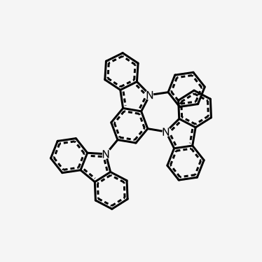 c1ccc(-n2c3ccccc3c3cc(-n4c5ccccc5c5ccccc54)cc(-n4c5ccccc5c5ccccc54)c32)cc1